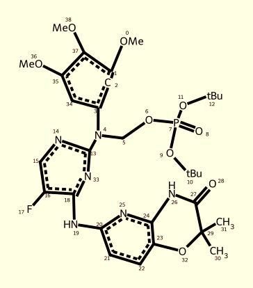 COc1cc(N(COP(=O)(OC(C)(C)C)OC(C)(C)C)c2ncc(F)c(Nc3ccc4c(n3)NC(=O)C(C)(C)O4)n2)cc(OC)c1OC